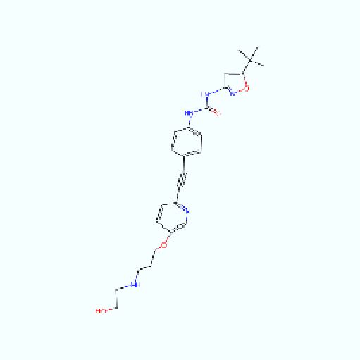 CC(C)(C)c1cc(NC(=O)Nc2ccc(C#Cc3ccc(OCCCNCCO)cn3)cc2)no1